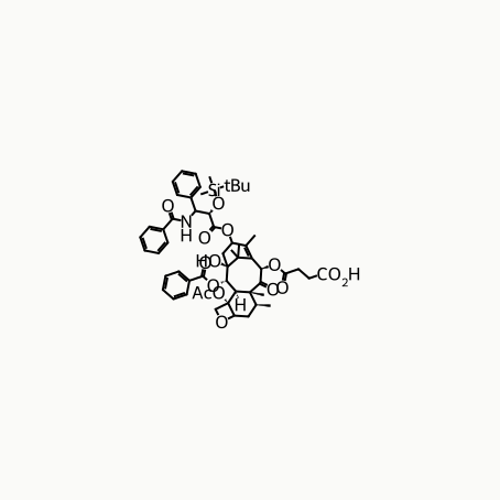 CC(=O)O[C@@]12COC1C[C@H](C)[C@@]1(C)C(=O)[C@H](OC(=O)CCC(=O)O)C3=C(C)C(OC(=O)[C@H](O[Si](C)(C)C(C)(C)C)C(NC(=O)c4ccccc4)c4ccccc4)C[C@@](O)([C@@H](OC(=O)c4ccccc4)[C@@H]12)C3(C)C